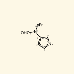 CCCN(C=O)n1ccnc1